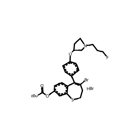 Br.CC(C)(C)C(=O)Oc1ccc2c(c1)SCCC(Br)=C2c1ccc(OC2CCN(CCCF)C2)cc1